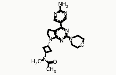 CC(=O)N(C)[C@H]1C[C@H](N2CCc3c(-c4cnc(N)nc4)nc(N4CCOCC4)nc32)C1